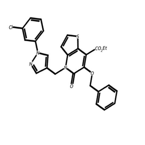 CCOC(=O)c1c(OCc2ccccc2)c(=O)n(Cc2cnn(-c3cccc(Cl)c3)c2)c2ccsc12